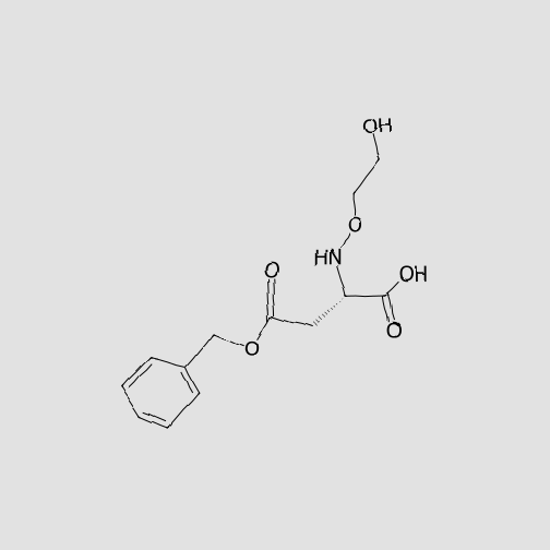 O=C(C[C@H](NOCCO)C(=O)O)OCc1ccccc1